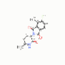 C=C1CCC(N2C(=O)c3ccc(F)c(C(C)(C)C)c3C2=O)C(=O)N1